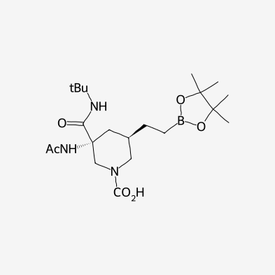 CC(=O)N[C@]1(C(=O)NC(C)(C)C)C[C@@H](CCB2OC(C)(C)C(C)(C)O2)CN(C(=O)O)C1